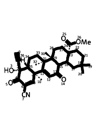 C#C[C@]1(O)C(=O)C(C#N)=C[C@]2(C)C3=CC(=O)C4C5CC(C)(C)CC[C@]5(C(=O)OC)CC[C@@]4(C)[C@]3(C)CC[C@@H]12